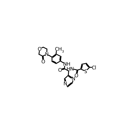 Cc1cc(NC(=O)C(NC(=O)c2ccc(Cl)s2)c2cnccn2)ccc1N1CCOCC1=O